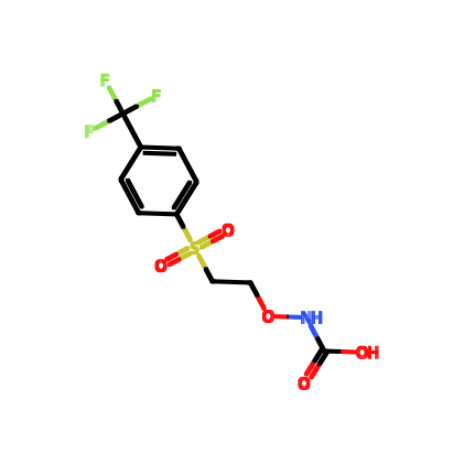 O=C(O)NOCCS(=O)(=O)c1ccc(C(F)(F)F)cc1